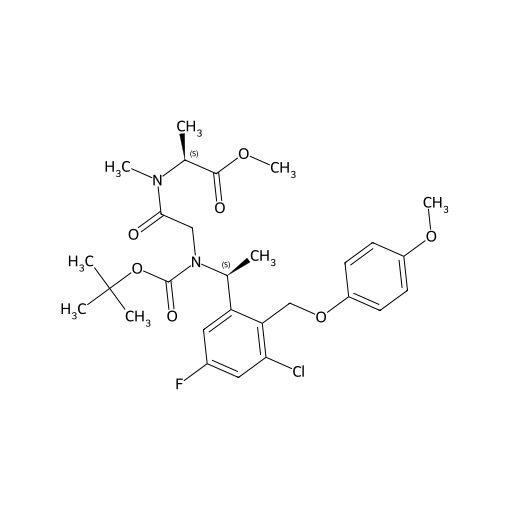 COC(=O)[C@H](C)N(C)C(=O)CN(C(=O)OC(C)(C)C)[C@@H](C)c1cc(F)cc(Cl)c1COc1ccc(OC)cc1